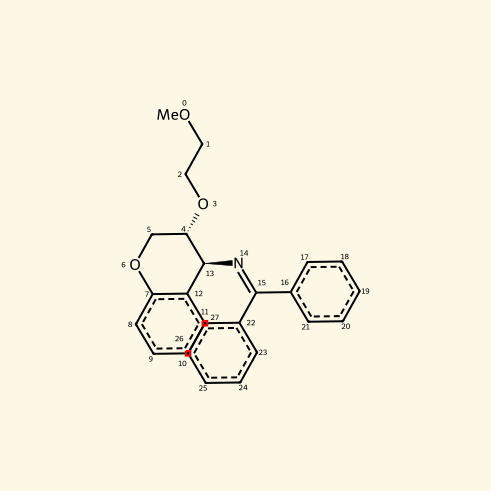 COCCO[C@H]1COc2ccccc2[C@@H]1N=C(c1ccccc1)c1ccccc1